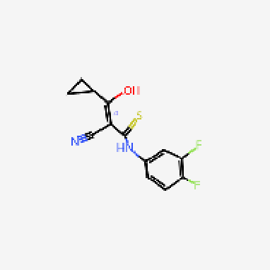 N#C/C(C(=S)Nc1ccc(F)c(F)c1)=C(/O)C1CC1